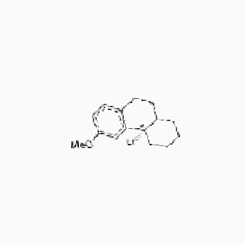 CC[C@@]12CCCCC1CCc1ccc(OC)cc12